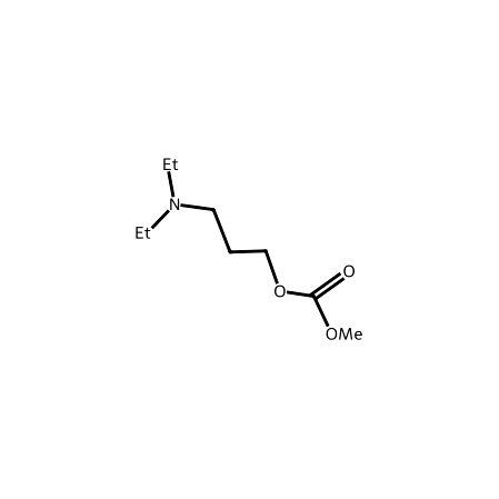 CCN(CC)CCCOC(=O)OC